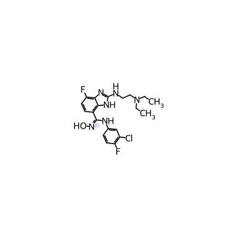 CCN(CC)CCNc1nc2c(F)ccc(/C(=N\O)Nc3ccc(F)c(Cl)c3)c2[nH]1